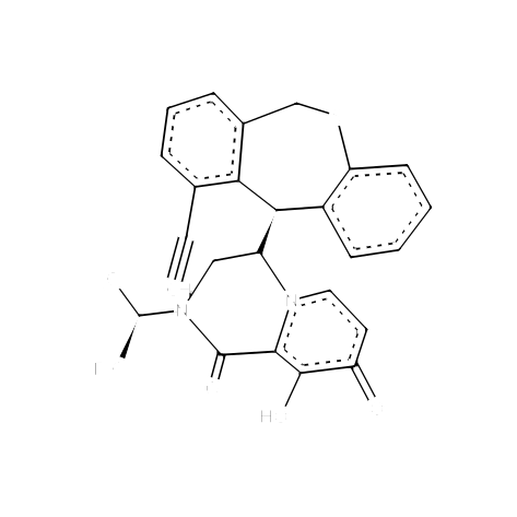 C#Cc1cccc2c1[C@H](C1CN([C@H](C)C(F)(F)F)C(=O)c3c(O)c(=O)ccn31)c1ccccc1SC2